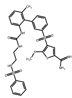 CSc1sc(C(=N)N)cc1S(=O)(=O)c1cccc(-c2c(C)cccc2NC(=O)NCCNS(=O)(=O)c2ccccc2)c1